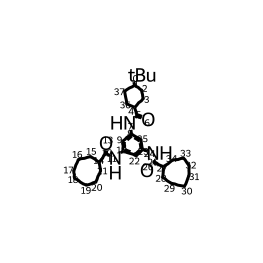 CC(C)(C)C1CCC(C(=O)Nc2cc(NC(=O)C3CCCCCCC3)cc(NC(=O)C3CCCCCCC3)c2)CC1